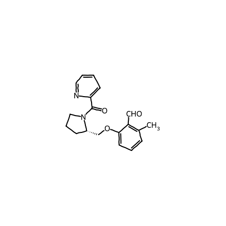 Cc1cccc(OC[C@@H]2CCCN2C(=O)c2ccccn2)c1C=O